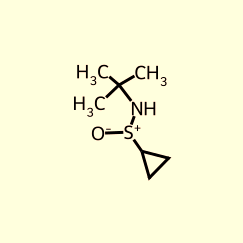 CC(C)(C)N[S+]([O-])C1CC1